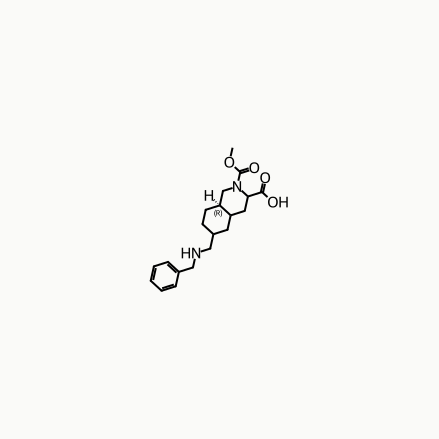 COC(=O)N1C[C@@H]2CCC(CNCc3ccccc3)CC2CC1C(=O)O